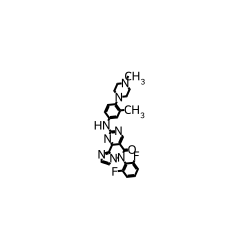 Cc1cc(Nc2ncc3c(=O)n(-c4c(F)cccc4F)n4ccnc4c3n2)ccc1N1CCN(C)CC1